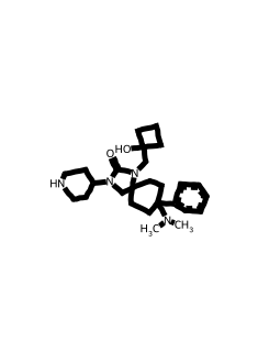 CN(C)C1(c2ccccc2)CCC2(CC1)CN(C1CCNCC1)C(=O)N2CC1(O)CCC1